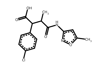 Cc1cc(NC(=O)C(C)C(C(=O)O)c2ccc(Cl)cc2)no1